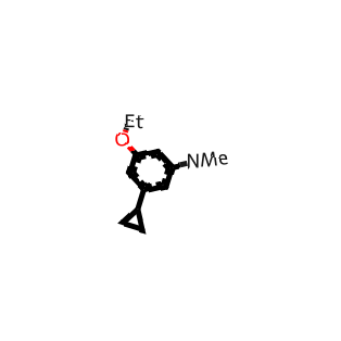 CCOc1cc(NC)cc(C2CC2)c1